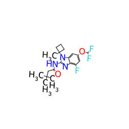 CC(C)(C)CC(=O)Nc1nc2c(F)cc(OC(F)F)cc2n1C1(C)CCC1